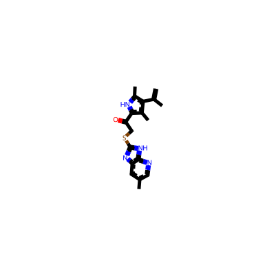 C=C(C)c1c(C)[nH]c(C(=O)CSc2nc3cc(C)cnc3[nH]2)c1C